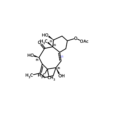 CC(=O)OOC1C/C2=C/[C@]3(O)CCC(C)=C([C@@H](O)C(=O)[C@]2(C)[C@@H](O)C1)C3(C)C